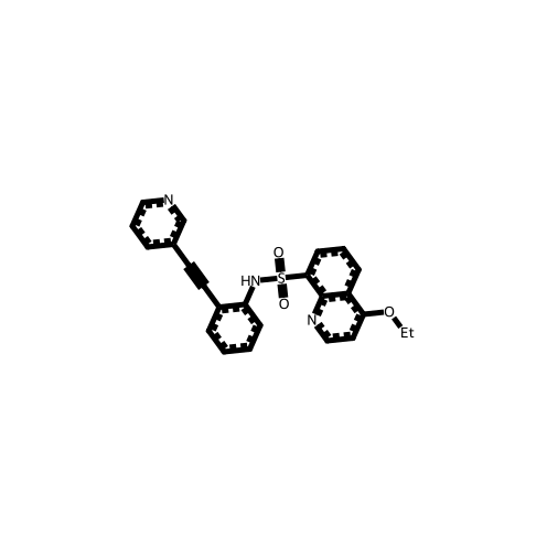 CCOc1ccnc2c(S(=O)(=O)Nc3ccccc3C#Cc3cccnc3)cccc12